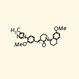 COc1ccc2c(c1)[C@@H](N1CCC/C(=C\c3ccc(-n4cnc(C)c4)c(OC)c3)C1=O)CCC2